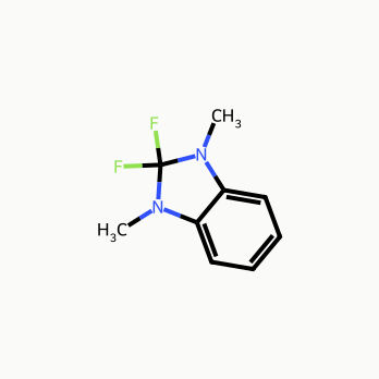 CN1c2ccccc2N(C)C1(F)F